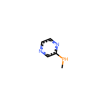 CPc1cnccn1